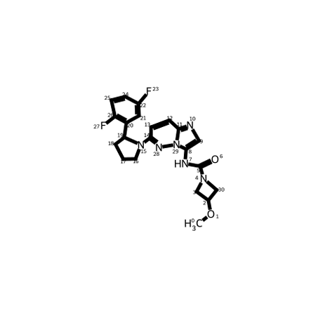 COC1CN(C(=O)Nc2cnc3ccc(N4CCCC4c4cc(F)ccc4F)nn23)C1